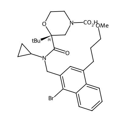 COCCCc1cc(CN(C(=O)[C@@]2(C(C)(C)C)CN(C(=O)O)CCO2)C2CC2)c(Br)c2ccccc12